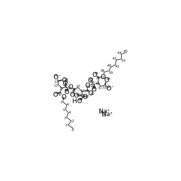 CCCCCCCCOC(=O)C(CC(=O)[O-])S(=O)(=O)OC(=O)CC(C(=O)OS(=O)(=O)C(CC(=O)[O-])C(=O)OCCCCCCCC)S(=O)(=O)O.[Na+].[Na+]